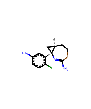 NC1=N[C@@]2(c3cc(N)ccc3F)C[C@H]2CCS1